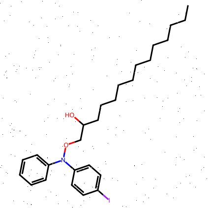 CCCCCCCCCCCCC(O)CON(c1ccccc1)c1ccc(I)cc1